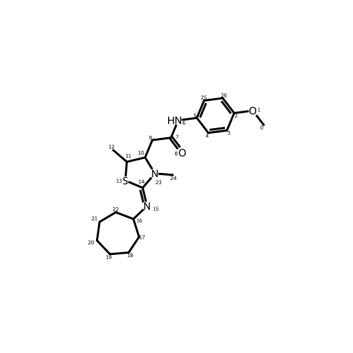 COc1ccc(NC(=O)CC2C(C)S/C(=N\C3CCCCCC3)N2C)cc1